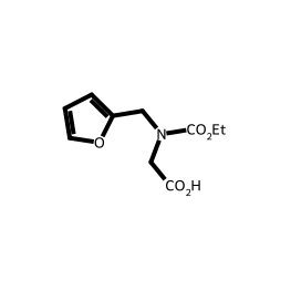 CCOC(=O)N(CC(=O)O)Cc1ccco1